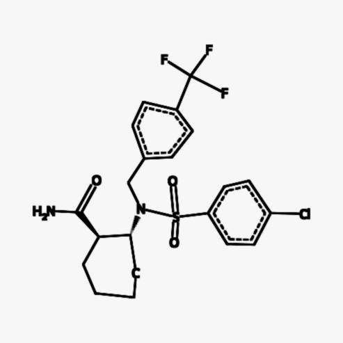 NC(=O)[C@@H]1CCCC[C@H]1N(Cc1ccc(C(F)(F)F)cc1)S(=O)(=O)c1ccc(Cl)cc1